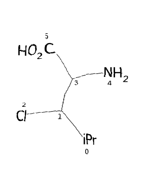 CC(C)C(Cl)C(N)C(=O)O